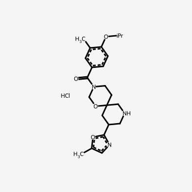 Cc1cnc(C2CNCC3(CCN(C(=O)c4ccc(OC(C)C)c(C)c4)CO3)C2)o1.Cl